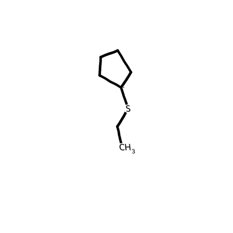 CCS[C]1CCCC1